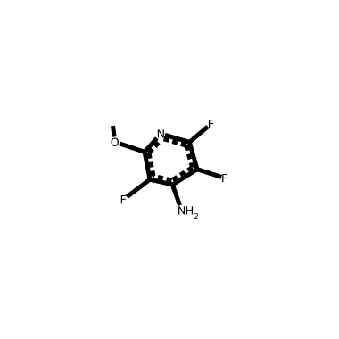 COc1nc(F)c(F)c(N)c1F